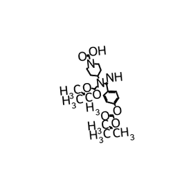 CC(C)(C)OC(=O)Oc1ccc(C(=N)N(C(=O)OC(C)(C)C)C2CCN(C(=O)O)CC2)cc1